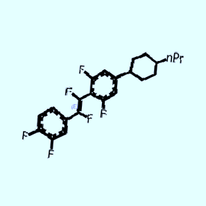 CCCC1CCC(c2cc(F)c(/C(F)=C(\F)c3ccc(F)c(F)c3)c(F)c2)CC1